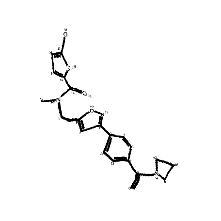 C=C(c1ccc(-c2cc(CN(C)C(=O)c3ccc(Cl)s3)on2)cc1)N1CCC1